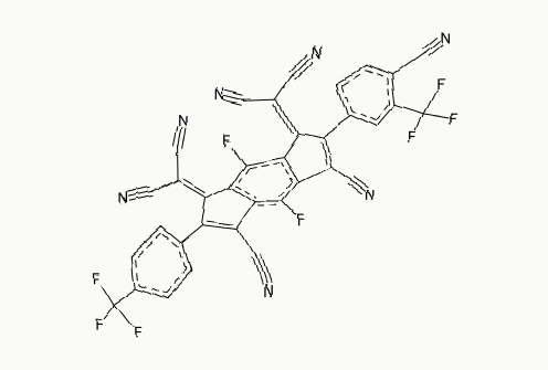 N#CC(C#N)=C1C(c2ccc(C(F)(F)F)cc2)=C(C#N)c2c(F)c3c(c(F)c21)C(=C(C#N)C#N)C(c1ccc(C#N)c(C(F)(F)F)c1)=C3C#N